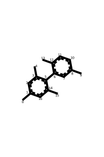 Cc1cc(C)c(-c2cc(C)ccc2C)c(C)c1